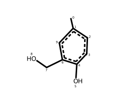 Cc1c[c]c(O)c(CO)c1